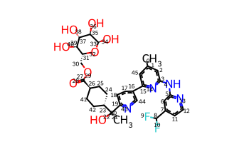 Cc1cc(Nc2cc(C(F)F)ccn2)nc(-c2ccc([C@](C)(O)[C@H]3CC[C@H](C(=O)OC[C@H]4O[C@H](O)[C@H](O)[C@@H](O)[C@@H]4O)CC3)nc2)c1